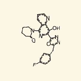 O=C1CCCCN1c1nc(-c2nnc(Cc3ccc(F)cc3)o2)c(O)c2ncccc12